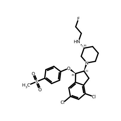 CS(=O)(=O)c1ccc(O[C@@H]2c3cc(Cl)cc(Cl)c3C[C@@H]2N2CCC[C@@H](NCCF)C2)cc1